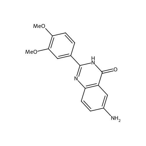 COc1ccc(-c2nc3ccc(N)cc3c(=O)[nH]2)cc1OC